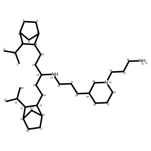 CC(C)C1C2CCC(C2)C1CCC(CCC1C2CCC(C2)C1C(C)C)NCCCC1CCCN(CCCN)C1